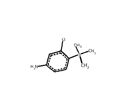 CS(C)(C)c1ccc(N)cc1Cl